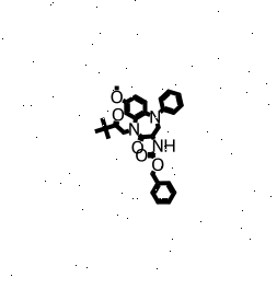 COc1ccc2c(c1)N(CC(=O)C(C)(C)C)C(=O)C(NC(=O)OCc1ccccc1)CN2c1ccccc1